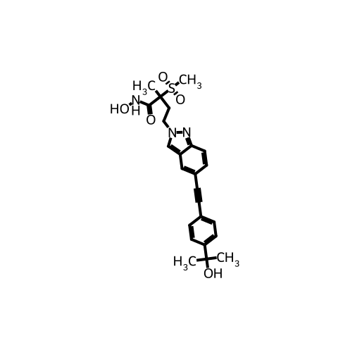 CC(C)(O)c1ccc(C#Cc2ccc3nn(CCC(C)(C(=O)NO)S(C)(=O)=O)cc3c2)cc1